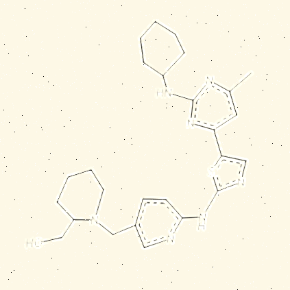 Cc1cc(-c2cnc(Nc3ccc(CN4CCCCC4CO)cn3)s2)nc(NC2CCCCC2)n1